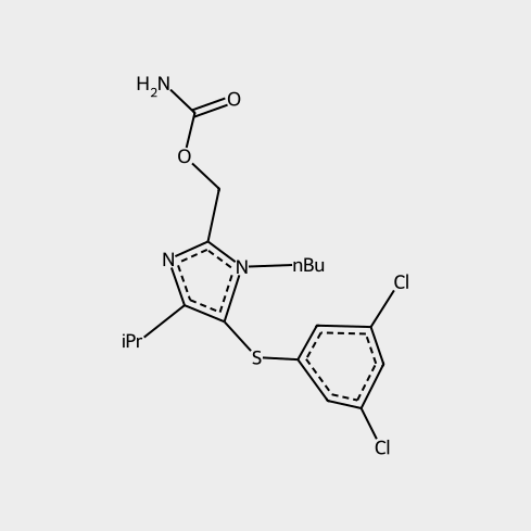 CCCCn1c(COC(N)=O)nc(C(C)C)c1Sc1cc(Cl)cc(Cl)c1